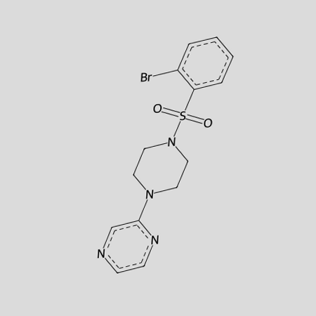 O=S(=O)(c1ccccc1Br)N1CCN(c2cnccn2)CC1